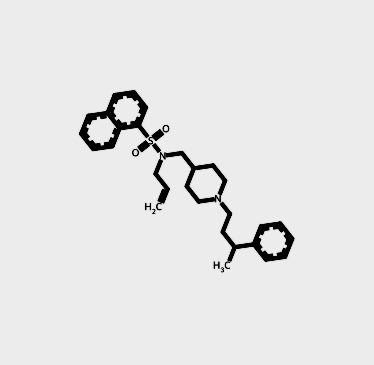 C=CCN(CC1CCN(CCC(C)c2ccccc2)CC1)S(=O)(=O)c1cccc2ccccc12